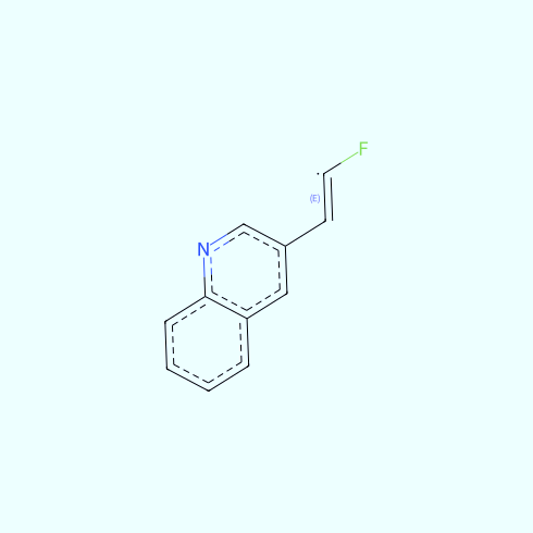 F/[C]=C/c1cnc2ccccc2c1